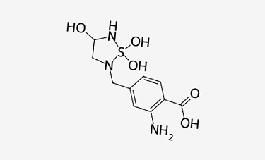 Nc1cc(CN2CC(O)NS2(O)O)ccc1C(=O)O